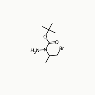 CC(CBr)N(N)C(=O)OC(C)(C)C